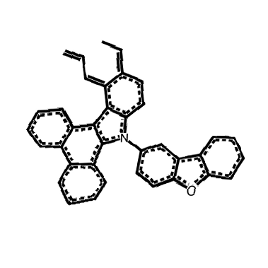 C=C/C=c1\c(=C/C)ccc2c1c1c3ccccc3c3ccccc3c1n2-c1ccc2oc3ccccc3c2c1